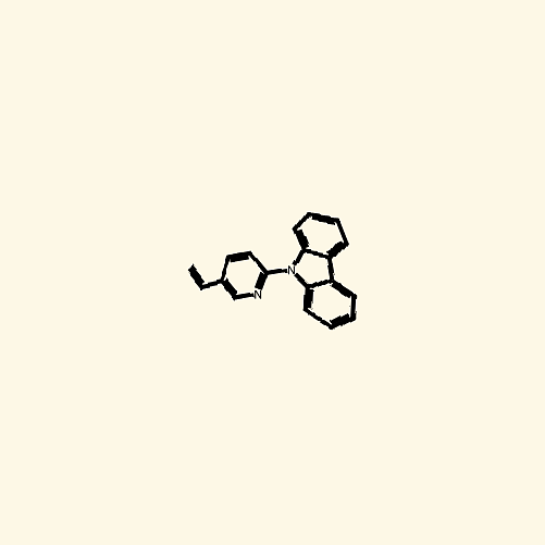 C=Cc1ccc(-n2c3ccccc3c3ccccc32)nc1